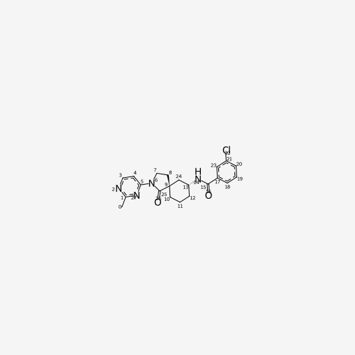 Cc1nccc(N2CC[C@@]3(CCC[C@@H](NC(=O)c4cccc(Cl)c4)C3)C2=O)n1